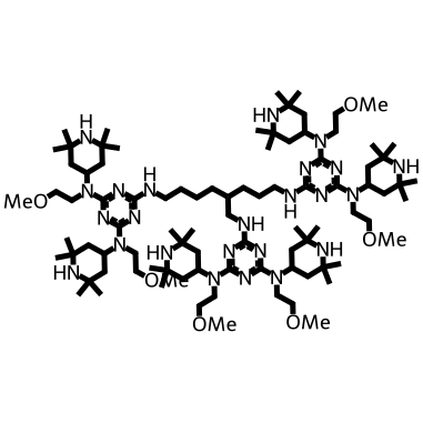 COCCN(c1nc(NCCCCC(CCCNc2nc(N(CCOC)C3CC(C)(C)NC(C)(C)C3)nc(N(CCOC)C3CC(C)(C)NC(C)(C)C3)n2)CNc2nc(N(CCOC)C3CC(C)(C)NC(C)(C)C3)nc(N(CCOC)C3CC(C)(C)NC(C)(C)C3)n2)nc(N(CCOC)C2CC(C)(C)NC(C)(C)C2)n1)C1CC(C)(C)NC(C)(C)C1